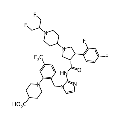 O=C(O)C1CCN(c2cc(C(F)(F)F)ccc2Cn2ccnc2NC(=O)[C@@H]2CN(C3CCN(C(CF)CF)CC3)C[C@H]2c2ccc(F)cc2F)CC1